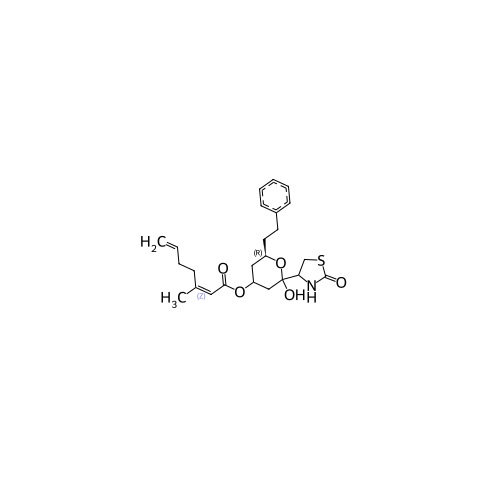 C=CCC/C(C)=C\C(=O)OC1C[C@@H](CCc2ccccc2)OC(O)(C2CSC(=O)N2)C1